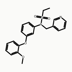 CCS(=O)(=O)N(Cc1cccnc1)c1cccc(Oc2ccccc2OC)c1